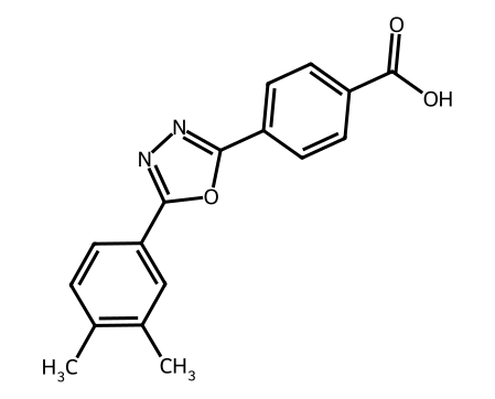 Cc1ccc(-c2nnc(-c3ccc(C(=O)O)cc3)o2)cc1C